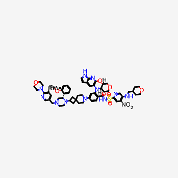 COc1cc(CN2CCN(C3CC4(CCN(c5ccc(C(=O)NS(=O)(=O)c6cc([N+](=O)[O-])c(NCC7CCOCC7)cn6)c(N6c7cc8cc[nH]c8nc7O[C@H]7COCC[C@@H]76)c5)CC4)C3)[C@@H](c3ccccc3OC(C)C)C2)cnc1N1CCOCC1